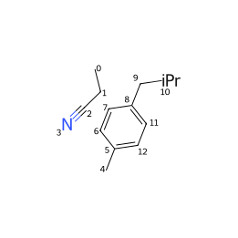 CCC#N.Cc1ccc(CC(C)C)cc1